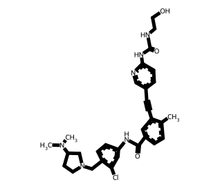 Cc1ccc(C(=O)Nc2ccc(CN3CCC(N(C)C)C3)c(Cl)c2)cc1C#Cc1ccc(NC(=O)NCCO)nc1